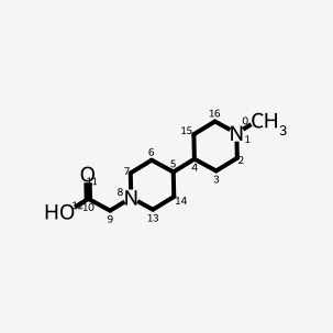 CN1CCC(C2CCN(CC(=O)O)CC2)CC1